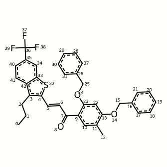 CCCc1c(C=CC(=O)c2cc(C)c(OCc3ccccc3)cc2OCc2ccccc2)sc2cc(C(F)(F)F)ccc12